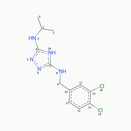 CC(C)Nc1nnc(NCc2ccc(Cl)c(Cl)c2)[nH]1